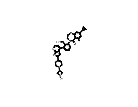 CCN1CC(N2CC=C(c3cc4c(-c5cccc(N6CCOc7cc(C8CC8)cc(F)c7C6=O)c5CO)ccnc4[nH]3)CC2)C1